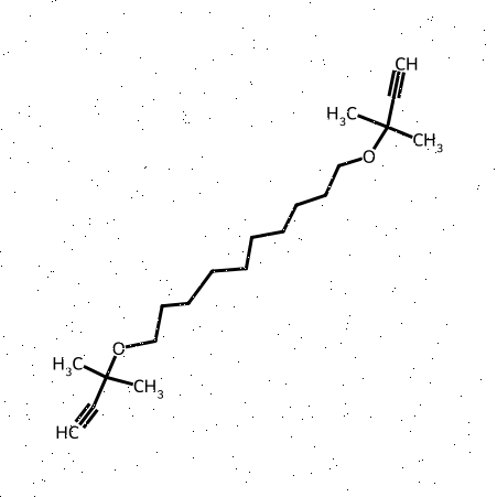 C#CC(C)(C)OCCCCCCCCCCOC(C)(C)C#C